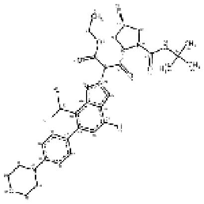 CCOC(=O)C(C(=O)[C@@H]1C[C@@H](F)CN1C(=O)OC(C)(C)C)n1cc2c(Cl)cc(-c3ccc(N4CCOCC4)cc3)c(C(F)F)c2n1